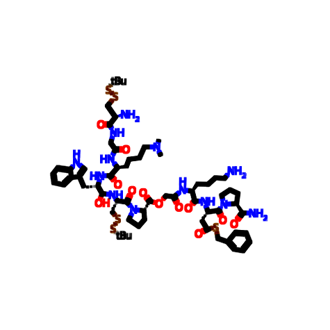 CN(C)CCCC[C@H](NC(=O)CNC(=O)[C@@H](N)CSSC(C)(C)C)C(=O)N[C@@H](Cc1c[nH]c2ccccc12)C(O)N[C@@H](CSSC(C)(C)C)C(=O)N1CCC[C@H]1C(=O)OCC(=O)N[C@@H](CCCCN)C(=O)N[C@@H](CC(=O)SCc1ccccc1)C(=O)N1CCC[C@H]1C(N)=O